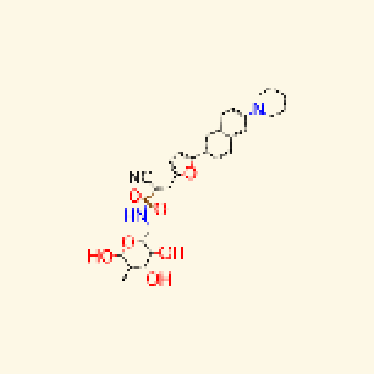 C[C@H]1C(O)O[C@H](CNS(=O)(=O)/C(C#N)=C/c2ccc(-c3ccc4cc(N5CCCCC5)ccc4c3)o2)[C@@H](O)[C@@H]1O